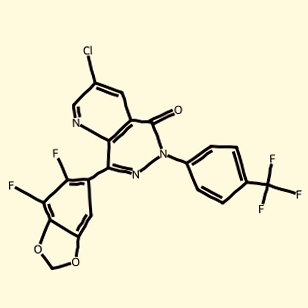 O=c1c2cc(Cl)cnc2c(-c2cc3c(c(F)c2F)OCO3)nn1-c1ccc(C(F)(F)F)cc1